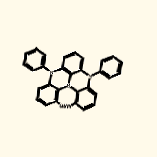 COc1cccc2c1B1c3c(OC)cccc3N(c3ccccc3)c3cccc(c31)N2c1ccccc1